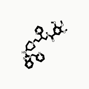 COc1cc(C(=O)N(C)CC(CCN2CCC(Nc3nc4ccccc4n3Cc3ccccn3)CC2)c2ccccn2)cc(OC)c1OC